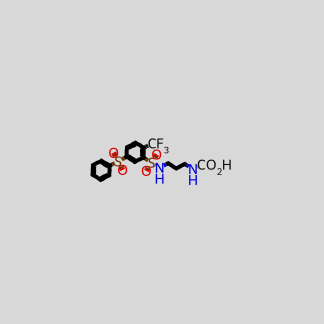 O=C(O)NCCCNS(=O)(=O)c1cc(S(=O)(=O)c2ccccc2)ccc1C(F)(F)F